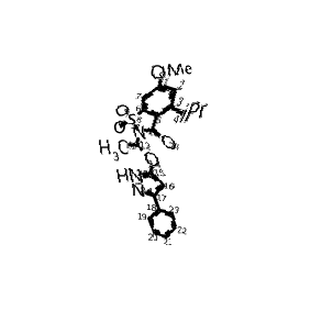 COc1cc(C(C)C)c2c(c1)S(=O)(=O)N(C(C)Oc1cc(-c3ccccc3)n[nH]1)C2=O